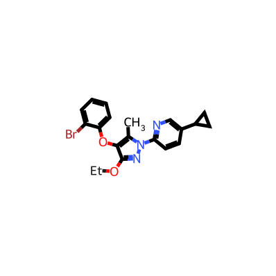 CCOc1nn(-c2ccc(C3CC3)cn2)c(C)c1Oc1ccccc1Br